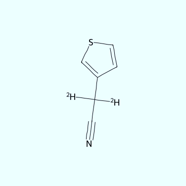 [2H]C([2H])(C#N)c1ccsc1